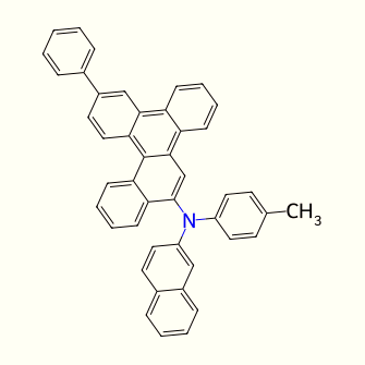 Cc1ccc(N(c2ccc3ccccc3c2)c2cc3c4ccccc4c4cc(-c5ccccc5)ccc4c3c3ccccc23)cc1